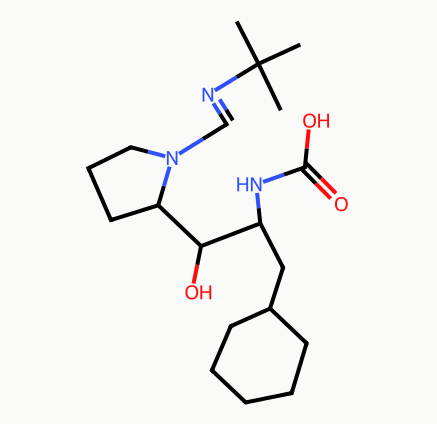 CC(C)(C)/N=C/N1CCCC1C(O)C(CC1CCCCC1)NC(=O)O